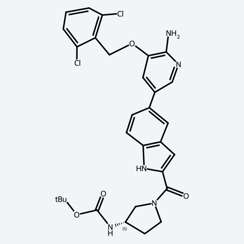 CC(C)(C)OC(=O)N[C@H]1CCN(C(=O)c2cc3cc(-c4cnc(N)c(OCc5c(Cl)cccc5Cl)c4)ccc3[nH]2)C1